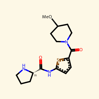 COC1CCN(C(=O)c2ccc(NC(=O)[C@@H]3CCCN3)s2)CC1